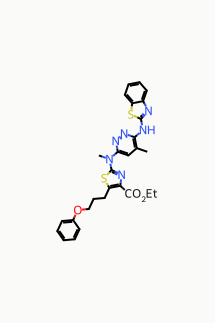 CCOC(=O)c1nc(N(C)c2cc(C)c(Nc3nc4ccccc4s3)nn2)sc1CCCOc1ccccc1